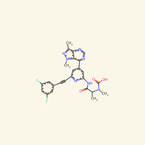 Cc1nn(C)c2c(-c3cc(C#Cc4cc(F)cc(F)c4)nc(NC(=O)C(C)N(C)C(=O)O)c3)ncnc12